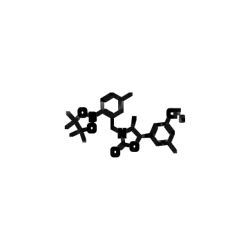 Cc1cc([C@H]2OC(=O)N(Cc3cc(C)ccc3B3OC(C)(C)C(C)(C)O3)[C@H]2C)cc(C(F)(F)F)c1